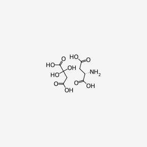 N[C@@H](CC(=O)O)C(=O)O.O=C(O)CC(O)(O)C(=O)O